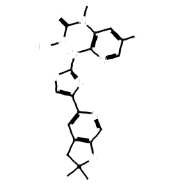 CN(C(=O)OC(C)(C)C)c1cc(C(F)(F)F)cnc1Nc1nc(-c2cc3c(cn2)OC(C)(C)C3)cs1